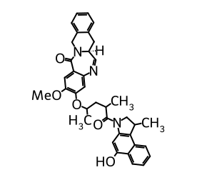 COc1cc2c(cc1OC(C)CC(C)C(=O)N1CC(C)c3c1cc(O)c1ccccc31)N=C[C@@H]1Cc3ccccc3CN1C2=O